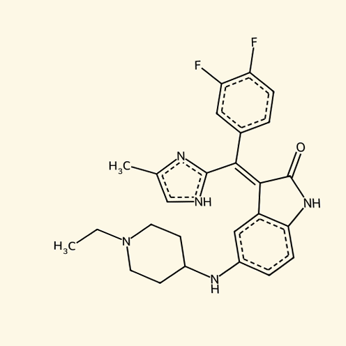 CCN1CCC(Nc2ccc3c(c2)C(=C(c2ccc(F)c(F)c2)c2nc(C)c[nH]2)C(=O)N3)CC1